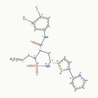 C=CCN1[C@H](C(=O)Nc2ccc(F)c(Cl)c2)C[C@H](c2ccc(-c3ccccn3)s2)NS1(=O)=O